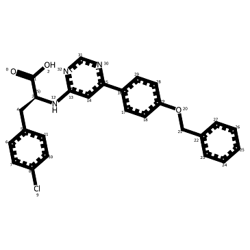 O=C(O)[C@H](Cc1ccc(Cl)cc1)Nc1cc(-c2ccc(OCc3ccccc3)cc2)ncn1